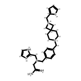 N=C(N)CN(Cc1ccc(CN2CCC3(CC2)CN(Cc2cccs2)C3)cc1)Cc1ncc[nH]1